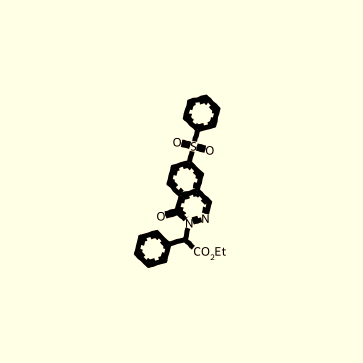 CCOC(=O)C(c1ccccc1)n1ncc2cc(S(=O)(=O)c3ccccc3)ccc2c1=O